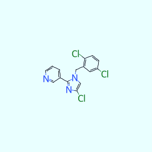 Clc1ccc(Cl)c(Cn2cc(Cl)nc2-c2cccnc2)c1